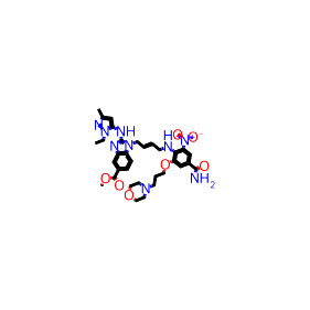 CCn1nc(C)cc1Nc1nc2cc(C(=O)OC)ccc2n1C/C=C/CNc1c(OCCCN2CCOCC2)cc(C(N)=O)cc1[N+](=O)[O-]